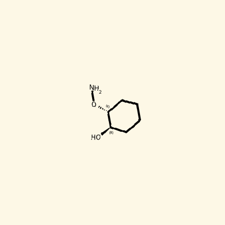 NO[C@@H]1CCCC[C@H]1O